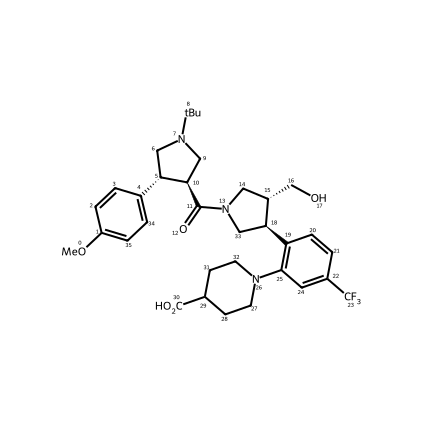 COc1ccc([C@@H]2CN(C(C)(C)C)C[C@H]2C(=O)N2C[C@H](CO)[C@@H](c3ccc(C(F)(F)F)cc3N3CCC(C(=O)O)CC3)C2)cc1